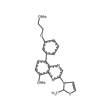 COCCOc1cccc(-c2ccc(OC)c3nc(N4C=CSC4C)cnc23)c1